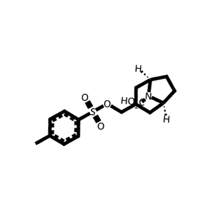 Cc1ccc(S(=O)(=O)OCC2C[C@H]3CC[C@@H](C2)N3C(=O)O)cc1